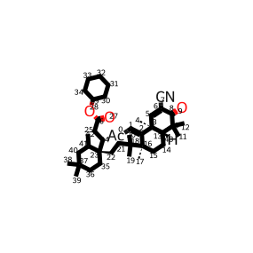 CC(=O)/C=C1/[C@@]2(C)C=C(C#N)C(=O)C(C)(C)[C@@H]2CC[C@@]1(C)C(C)(C)CC[C@@]1(CCC(=O)OC2CCCCC2)CCC(C)(C)CC1C